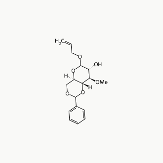 C=CCOC1O[C@@H]2COC(c3ccccc3)O[C@H]2[C@H](OC)[C@H]1O